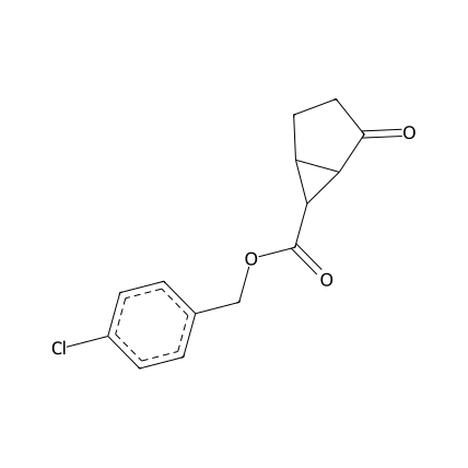 O=C1CCC2C1C2C(=O)OCc1ccc(Cl)cc1